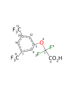 O=C(O)C(F)(F)Oc1cc(C(F)(F)F)cc(C(F)(F)F)c1